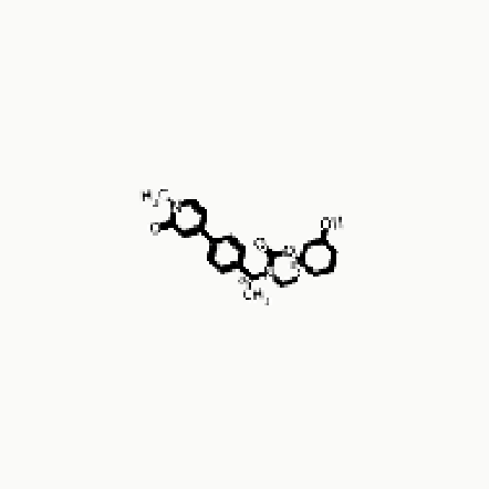 C[C@@H](c1ccc(-c2ccn(C)c(=O)c2)cc1)N1CC[C@]2(CCCC(O)C2)OC1=O